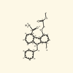 COC(=O)COc1ccc(F)c2c1c1c(C(N)=O)cccc1n2Cc1ccccc1